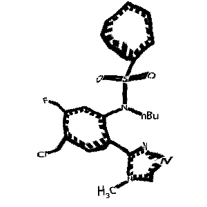 CCCCN(c1cc(F)c(Cl)cc1-c1nncn1C)S(=O)(=O)c1ccccc1